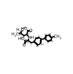 Cc1ccc(-c2ccc(CC(NC(CC(C)C)C(=O)O)C(=O)O)cc2)cc1